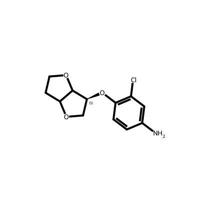 Nc1ccc(O[C@H]2COC3CCOC32)c(Cl)c1